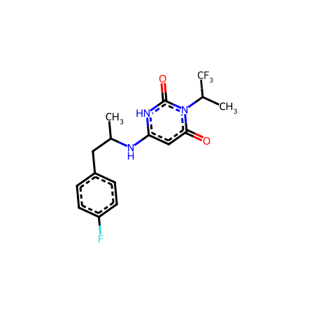 CC(Cc1ccc(F)cc1)Nc1cc(=O)n(C(C)C(F)(F)F)c(=O)[nH]1